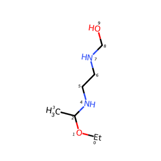 CCOC(C)NCCNCO